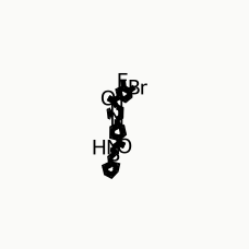 O=C(NSCc1ccccc1)c1ccc(N2CCN(C(=O)c3ccc(Br)c(F)c3)CC2)cc1